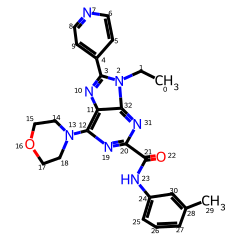 CCn1c(-c2ccncc2)nc2c(N3CCOCC3)nc(C(=O)Nc3cccc(C)c3)nc21